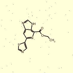 CCOC(=O)c1nc(-c2cncs2)cc2nc[nH]c12